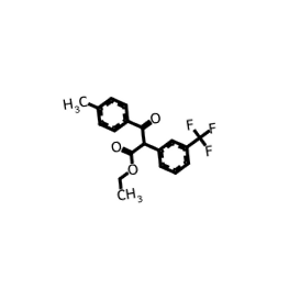 CCOC(=O)C(C(=O)c1ccc(C)cc1)c1cccc(C(F)(F)F)c1